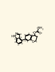 NC(=O)OC1CCOc2cc(-c3cccc4[nH]ncc34)ccc21